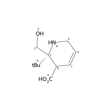 CC(C)(C)[C@]1(CO)NCC=CC1C(=O)O